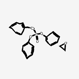 C1CO1.O=P(Oc1ccccc1)(Oc1ccccc1)Oc1ccccc1